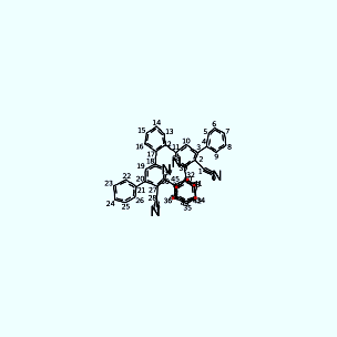 N#Cc1c(-c2ccccc2)cc(-c2ccccc2-c2cc(-c3ccccc3)c(C#N)c(-c3ccccc3)n2)nc1-c1ccccc1